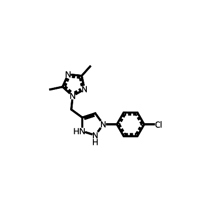 Cc1nc(C)n(CC2=CN(c3ccc(Cl)cc3)NN2)n1